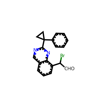 O=CC(Br)c1cccc2cnc(C3(c4ccccc4)CC3)nc12